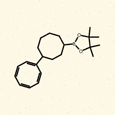 CC1(C)OB(C2CCCCC(C3=C/C=C\C=C/C=C\3)CC2)OC1(C)C